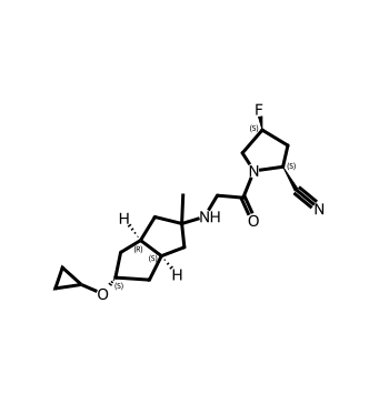 CC1(NCC(=O)N2C[C@@H](F)C[C@H]2C#N)C[C@H]2C[C@H](OC3CC3)C[C@H]2C1